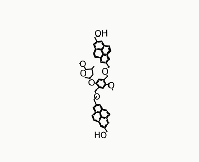 COC(=O)C(C)CC(C)Oc1cc(COCc2cc3ccc4cc(CO)cc5ccc(c2)c3c45)c(OC)cc1COCc1cc2ccc3cc(CO)cc4ccc(c1)c2c34